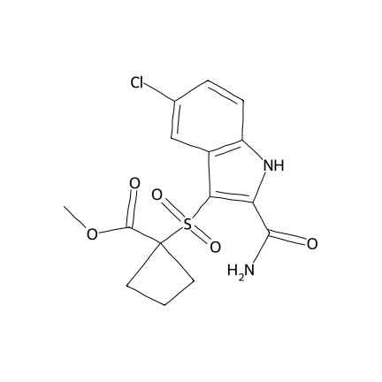 COC(=O)C1(S(=O)(=O)c2c(C(N)=O)[nH]c3ccc(Cl)cc23)CCC1